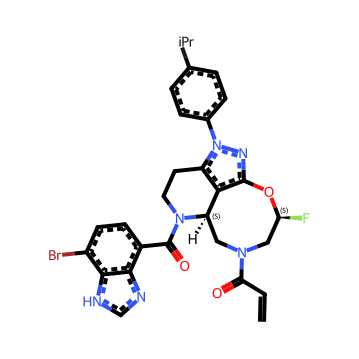 C=CC(=O)N1C[C@@H]2c3c(nn(-c4ccc(C(C)C)cc4)c3CCN2C(=O)c2ccc(Br)c3[nH]cnc23)O[C@@H](F)C1